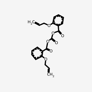 C=CCOc1ccccc1C(=O)OC(=O)OC(=O)c1ccccc1OCC=C